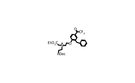 CCCCCCCCCCCC[N+](C)(CCOc1ccc(C(=O)C(F)(F)F)cc1Cc1ccccc1)CC(=O)OCC